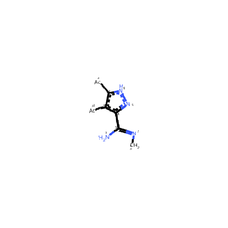 CN=C(N)c1n[nH]c(C(C)=O)c1C(C)=O